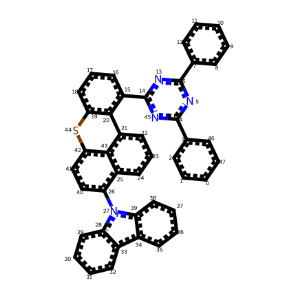 c1ccc(-c2nc(-c3ccccc3)nc(-c3cccc4c3-c3cccc5c(-n6c7ccccc7c7ccccc76)ccc(c35)S4)n2)cc1